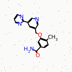 Cc1ccc(C(N)=O)cc1OCc1cncc(-c2ncccn2)c1